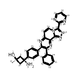 C[C@]1(O)C[C@](N)(c2ccc(-c3nc4ccn5c(-c6ncccn6)nnc5c4nc3-c3ccccc3)cc2)C1